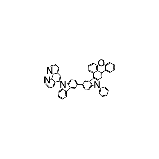 c1ccc(-n2c3ccc(-c4ccc5c(c4)c4ccccc4n5-c4cc5cccnc5c5ncccc45)cc3c3c4cccc5c4c(cc32)-c2ccccc2O5)cc1